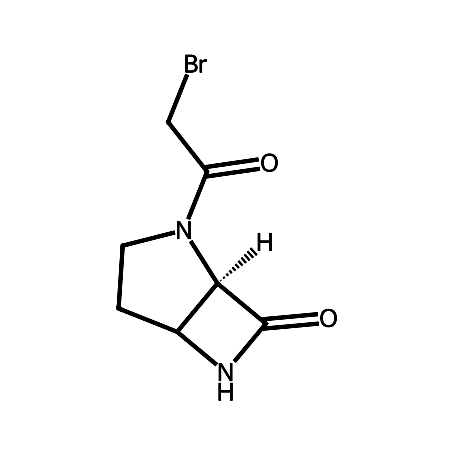 O=C1NC2CCN(C(=O)CBr)[C@@H]12